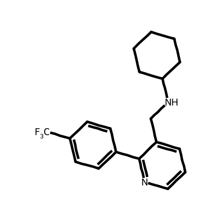 FC(F)(F)c1ccc(-c2ncccc2CNC2CCCCC2)cc1